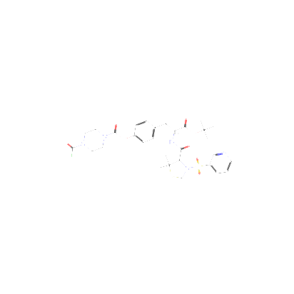 CC(C)(C)OC(=O)[C@H](Cc1ccc(OC(=O)N2CCN(C(=O)Cl)CC2)cc1)NC(=O)C1N(S(=O)(=O)c2cccnc2)CSC1(C)C